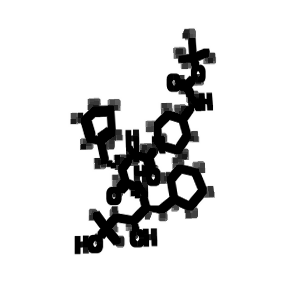 CC(C)(O)C[C@H](O)[C@H](CC1CCCCC1)NC(=O)[C@H](Cc1ccccc1)NC(=O)N1CCC(NC(=O)OC(C)(C)C)CC1